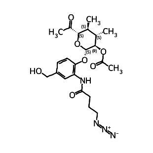 CC(=O)O[C@H]1[C@H](Oc2ccc(CO)cc2NC(=O)CCCN=[N+]=[N-])O[C@H](C(C)=O)[C@@H](C)[C@@H]1C